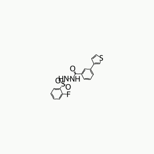 O=C(NNS(=O)(=O)c1ccccc1F)c1cccc(-c2ccsc2)c1